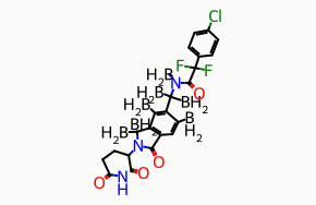 Bc1cc2c(c(B)c1C(B)(B)N(B)C(=O)C(F)(F)c1ccc(Cl)cc1)C(B)(B)N(C1CCC(=O)NC1=O)C2=O